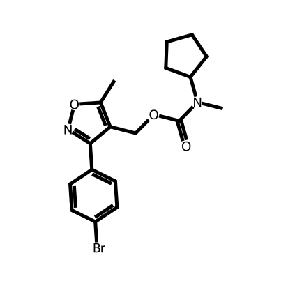 Cc1onc(-c2ccc(Br)cc2)c1COC(=O)N(C)C1CCCC1